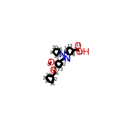 COc1cc(-c2nc3cc(C(=O)O)ccc3n2C2CCCC2)ccc1OCc1ccccc1